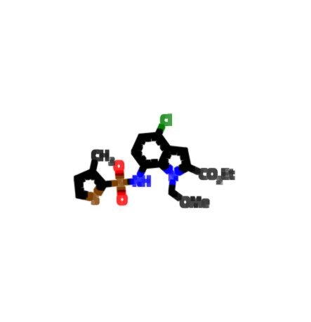 CCOC(=O)c1cc2c(Cl)ccc(NS(=O)(=O)c3sccc3C)c2n1COC